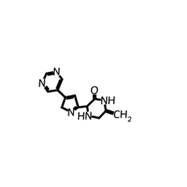 C=C1CNC(C2=NCC(c3cncnc3)=C2)C(=O)N1